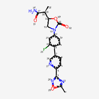 Cc1nc(-c2ccc(-c3ccc(N4CC([C@H](C)C(N)=O)OC4=O)cc3F)cn2)no1